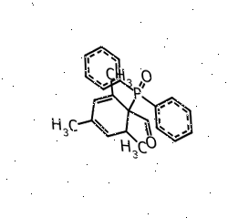 CC1=CC(C)C(C=O)(P(=O)(c2ccccc2)c2ccccc2)C(C)=C1